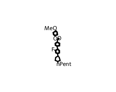 CCCCCC1CCC(c2ccc(-c3ccc(C(=O)Oc4ccc(OC)cc4)cc3)c(F)c2)CC1